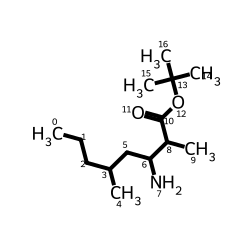 CCCC(C)CC(N)C(C)C(=O)OC(C)(C)C